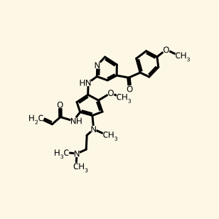 C=CC(=O)Nc1cc(Nc2cc(C(=O)c3ccc(OC)cc3)ccn2)c(OC)cc1N(C)CCN(C)C